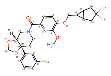 COc1nc(C(=O)N2CC[C@]3(c4cccc(F)c4)OCO[C@@H]3C2)ccc1OCC1C2CC(F)(F)CC12